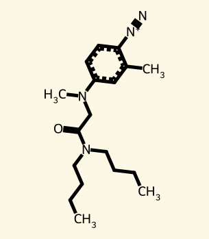 CCCCN(CCCC)C(=O)CN(C)c1ccc([N+]#N)c(C)c1